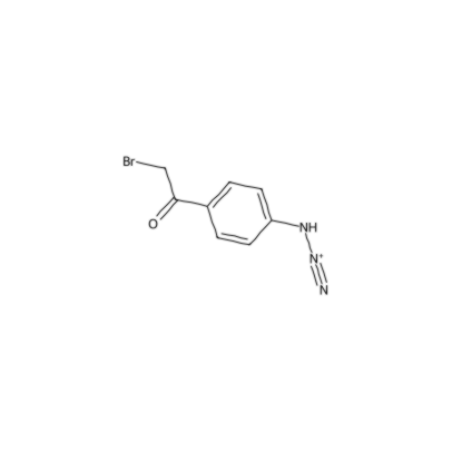 N#[N+]Nc1ccc(C(=O)CBr)cc1